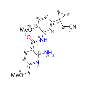 COCc1ccc(C(=O)Nc2cc(C3(CC#N)CC3)ccc2OC)c(N)n1